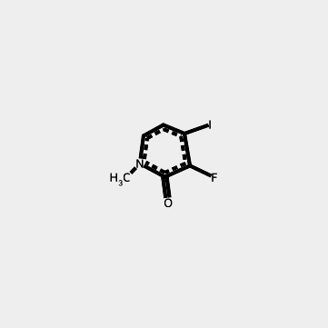 Cn1ccc(I)c(F)c1=O